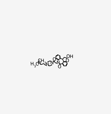 CN(C)CCCN1CCN(C(=O)CN2C(=O)c3ccccc3C(CC(=O)O)c3ccccc32)CC1